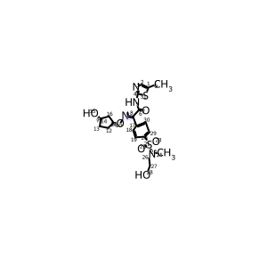 Cc1cnc(NC(=O)/C(=N/O[C@@H]2CC[C@@H](O)C2)c2ccc(S(=O)(=O)N(C)CCO)cc2)s1